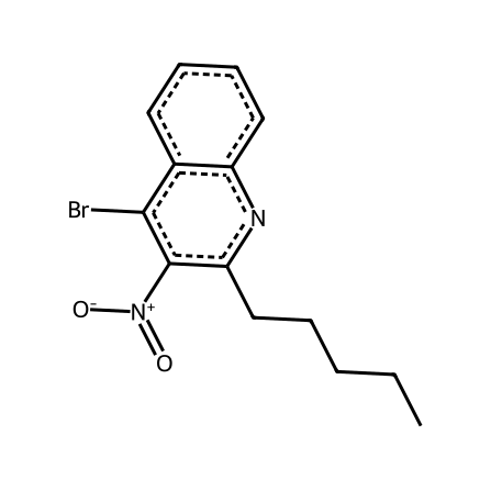 CCCCCc1nc2ccccc2c(Br)c1[N+](=O)[O-]